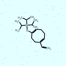 C=C/C1=C/CC/C=C(/O[Si](C(C)C)(C(C)C)C(C)C)CC1